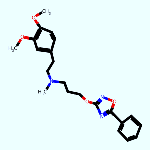 COc1ccc(CCN(C)CCCOc2noc(-c3ccccc3)n2)cc1OC